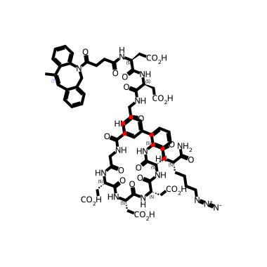 C/C1=C/c2ccccc2CN(C(=O)CCC(=O)N[C@@H](CC(=O)O)C(=O)N[C@@H](CC(=O)O)C(=O)NCC(=O)NCC(=O)NCC(=O)N[C@@H](CC(=O)O)C(=O)N[C@@H](CC(=O)O)C(=O)N[C@@H](CC(=O)O)C(=O)N[C@@H](Cc2ccccc2)C(=O)N[C@@H](Cc2ccccc2)C(=O)N[C@@H](CCCCN=[N+]=[N-])C(N)=O)c2ccccc21